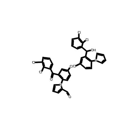 O=Cc1cccn1-c1ccc(Cl)cc1C(=O)c1cccc(Cl)c1Cl.OC(c1cc(Cl)ccc1-n1cccc1)c1cccc(Cl)c1Cl